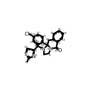 Cc1nc(C(=O)N2CCN3C(=O)c4ccccc4CC23c2ccc(Cl)cc2)cs1